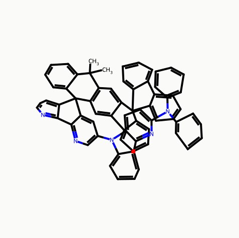 CC1(C)c2ccccc2C2(c3cc4c(cc31)C1(c3ccccc3-c3ccccc31)c1ccccc1-4)c1cccnc1-c1ncc(-n3c4ccccc4c4nc(N(c5ccccc5)c5ccccc5)ccc43)cc12